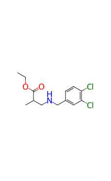 CCOC(=O)C(C)CNCc1ccc(Cl)c(Cl)c1